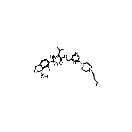 CCCCN1CCN(c2cncc(COC(=O)[C@@H](NC(=O)c3ccc4c(c3C)B(O)OC4)C(C)C)n2)CC1